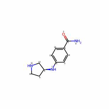 NC(=O)c1ccc(N[C@H]2CCNC2)cc1